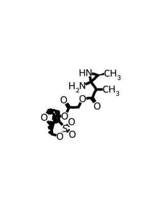 CC(C(=O)OCC(=O)Oc1c2c3oc1cc3S(=O)(=O)O2)C1(N)N[C@H]1C